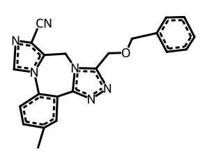 Cc1ccc2c(c1)-c1nnc(COCc3ccccc3)n1Cc1c(C#N)ncn1-2